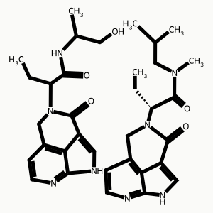 CCC(C(=O)NC(C)CO)N1Cc2ccnc3[nH]cc(c23)C1=O.CC[C@H](C(=O)N(C)CC(C)C)N1Cc2ccnc3[nH]cc(c23)C1=O